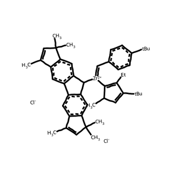 CCC1=[C](/[Zr+2](=[CH]\c2ccc(C(C)(C)C)cc2)[CH]2c3cc4c(cc3-c3cc5c(cc32)C(C)(C)C=C5C)C(C)=CC4(C)C)C(C)C=C1C(C)(C)C.[Cl-].[Cl-]